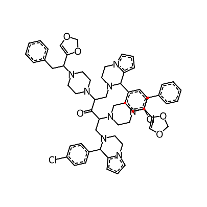 O=C(C(CN1CCn2cccc2C1c1ccc(Cl)cc1)N1CCN(C(Cc2ccccc2)C2=COCO2)CC1)C(CN1CCn2cccc2C1c1ccc(Cl)cc1)N1CCN(C(Cc2ccccc2)C2=COCO2)CC1